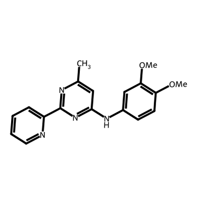 COc1ccc(Nc2cc(C)nc(-c3ccccn3)n2)cc1OC